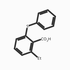 CCc1cccc(Sc2ccccc2)c1C(=O)O